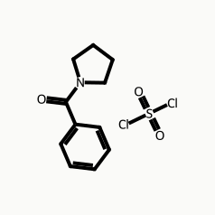 O=C(c1ccccc1)N1CCCC1.O=S(=O)(Cl)Cl